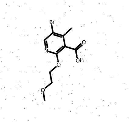 COCCOc1ncc(Br)c(C)c1C(=O)O